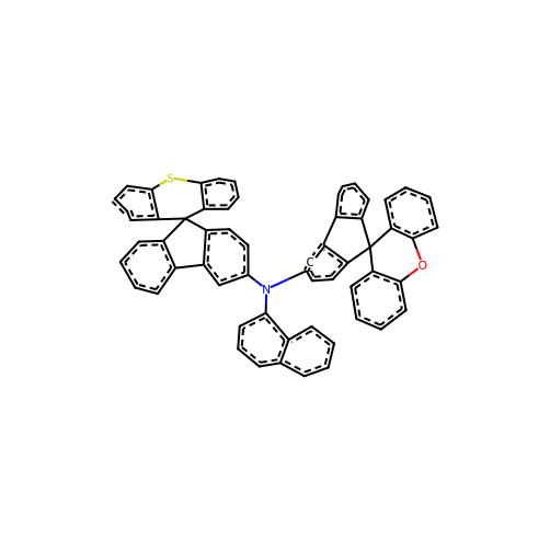 c1ccc2c(c1)Oc1ccccc1C21c2ccccc2-c2cc(N(c3ccc4c(c3)-c3ccccc3C43c4ccccc4Sc4ccccc43)c3cccc4ccccc34)ccc21